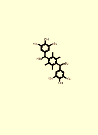 CCCCC(c1cc(C(C)(C)C)c(O)c(C(C)(C)C)c1)c1c(C)c(C)c(C(CCCC)c2cc(C(C)(C)C)c(O)c(C(C)(C)C)c2)c(C)c1C